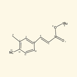 Cc1cc(C=CC(=O)OC(C)(C)C)ccc1C#N